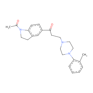 CC(=O)N1CCc2cc(C(=O)CCN3CCN(c4ccccc4C)CC3)ccc21